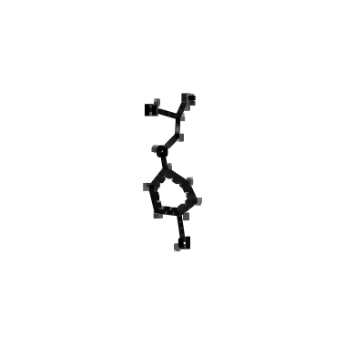 CCC(CC)COc1ccc(Cl)cc1